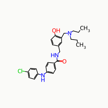 CCCN(CCC)Cc1cc(CNC(=O)c2ccc(Nc3ccc(Cl)cc3)cc2)ccc1O